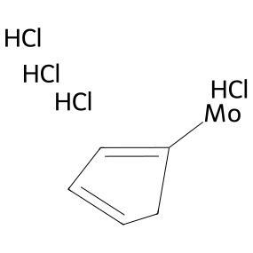 Cl.Cl.Cl.Cl.[Mo][C]1=CC=CC1